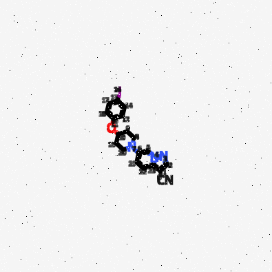 N#Cc1cnn2cc(N3CCC(Oc4ccc(I)cc4)CC3)ccc12